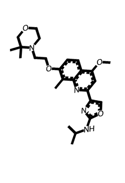 COc1cc(-c2coc(NC(C)C)n2)nc2c(C)c(OCCN3CCOCC3(C)C)ccc12